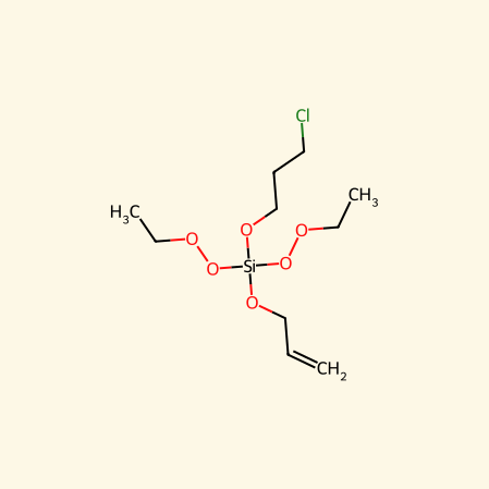 C=CCO[Si](OCCCCl)(OOCC)OOCC